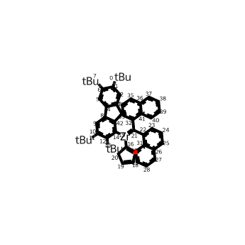 CC(C)(C)c1cc2c(cc1C(C)(C)C)-c1cc(C(C)(C)C)c(C(C)(C)C)[c]([Zr]([C]3=CC=CC3)=[C](c3cccc4ccccc34)c3cccc4ccccc34)c1C2